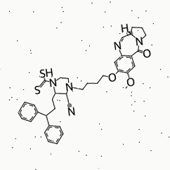 COc1cc2c(cc1OCCCCN1CCN(C(=S)S)C(CCC(c3ccccc3)c3ccccc3)C1C#N)N=C[C@@H]1CCCN1C2=O